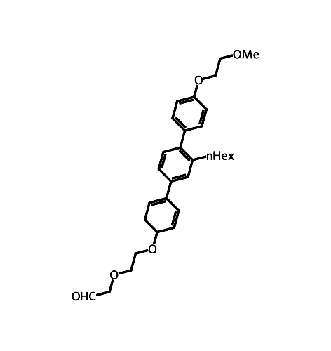 CCCCCCc1cc(C2=CCC(OCCOCC=O)C=C2)ccc1-c1ccc(OCCOC)cc1